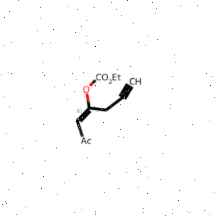 C#CC/C(=C\C(C)=O)OC(=O)OCC